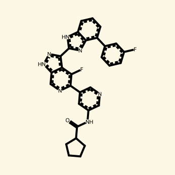 O=C(Nc1cncc(-c2ncc3[nH]nc(-c4nc5c(-c6cccc(F)c6)cccc5[nH]4)c3c2F)c1)C1CCCC1